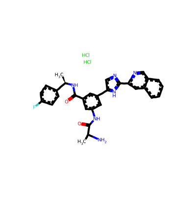 CC(N)C(=O)Nc1cc(C(=O)N[C@H](C)c2ccc(F)cc2)cc(-c2cnc(-c3cc4ccccc4cn3)[nH]2)c1.Cl.Cl